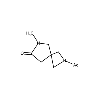 CC(=O)N1CC2(CC(=O)N(C)C2)C1